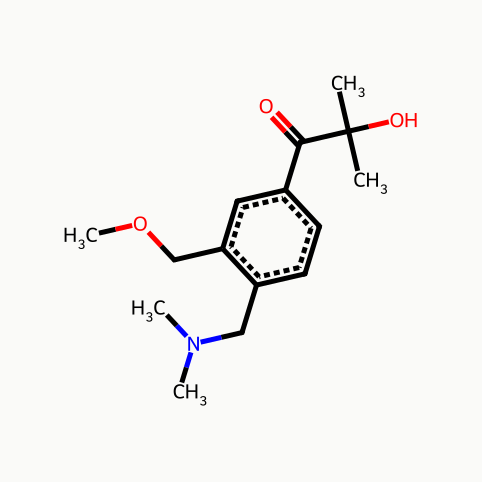 COCc1cc(C(=O)C(C)(C)O)ccc1CN(C)C